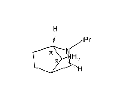 CC(C)N1CC2CC[C@@H]1[C@H]2N